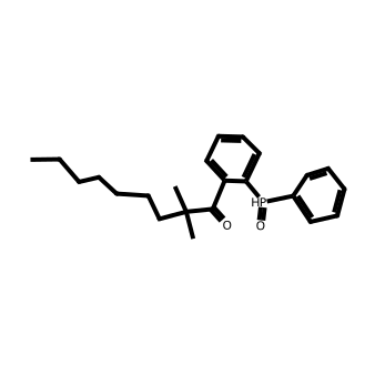 CCCCCCCC(C)(C)C(=O)c1ccccc1[PH](=O)c1ccccc1